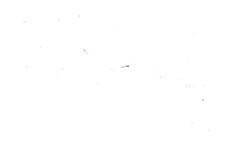 CCOP(=O)(CN(C(=O)C[C@H]1C[C@H]1c1c(F)ccc(C(=O)CC)c1O)c1ccc(C#N)cn1)OCC